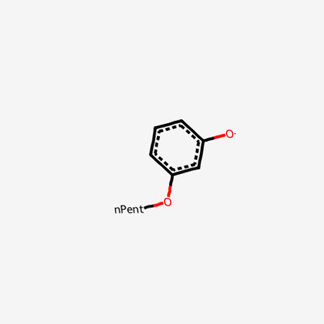 CCCCCOc1cccc([O])c1